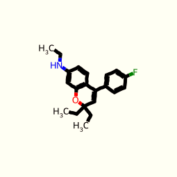 CCNc1ccc2c(c1)OC(CC)(CC)C=C2c1ccc(F)cc1